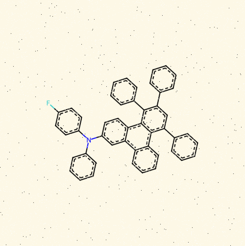 Fc1ccc(N(c2ccccc2)c2ccc3c(c2)c2ccccc2c2c(-c4ccccc4)cc(-c4ccccc4)c(-c4ccccc4)c32)cc1